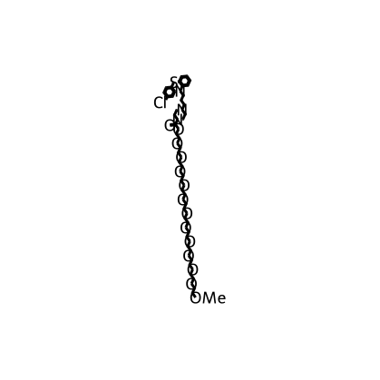 COCCOCCOCCOCCOCCOCCOCCOCCOCCOCCOCCOCCOC(=O)N1CCN(CCCN2c3ccccc3Sc3ccc(Cl)cc32)CC1